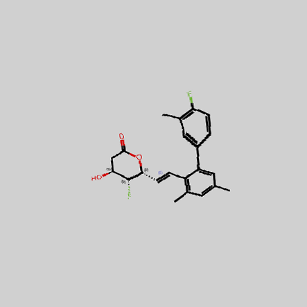 Cc1cc(C)c(/C=C/[C@H]2OC(=O)C[C@H](O)[C@H]2F)c(-c2ccc(F)c(C)c2)c1